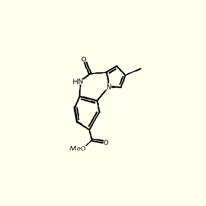 COC(=O)c1ccc2[nH]c(=O)c3cc(C)cn3c2c1